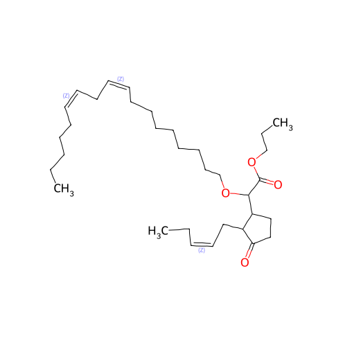 CC/C=C\CC1C(=O)CCC1C(OCCCCCCCC/C=C\C/C=C\CCCCC)C(=O)OCCC